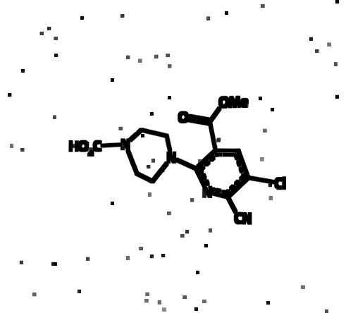 COC(=O)c1cc(Cl)c(C#N)nc1N1CCN(C(=O)O)CC1